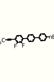 CC#Cc1ccc(-c2ccc(-c3ccc(CCCC)cc3)cc2)c(F)c1F